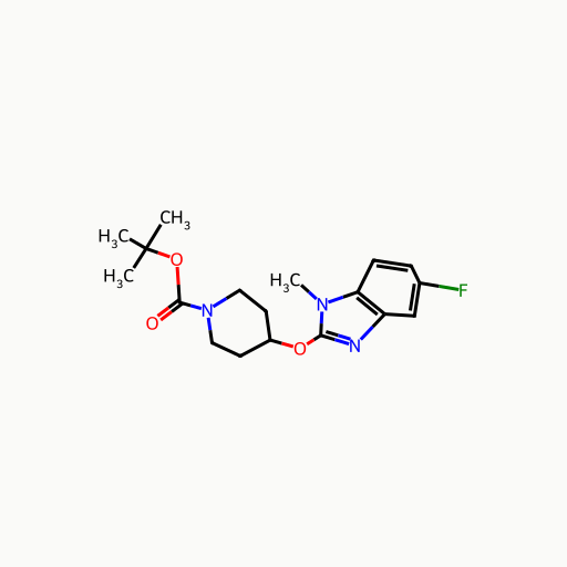 Cn1c(OC2CCN(C(=O)OC(C)(C)C)CC2)nc2cc(F)ccc21